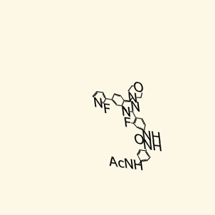 CC(=O)Nc1ccc(NC(=O)Nc2ccc(-c3nc(N4CCOCC4)c4ccc(-c5cccnc5F)cc4n3)c(F)c2)cc1